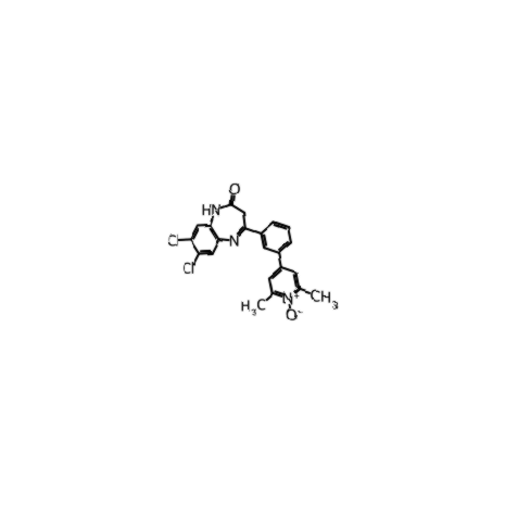 Cc1cc(-c2cccc(C3=Nc4cc(Cl)c(Cl)cc4NC(=O)C3)c2)cc(C)[n+]1[O-]